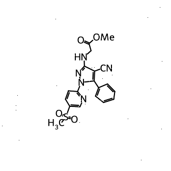 COC(=O)CNc1nn(-c2ccc(S(C)(=O)=O)cn2)c(-c2ccccc2)c1C#N